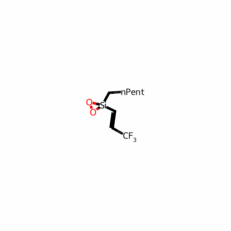 CCCCCC[Si]1(C=CC(F)(F)F)OO1